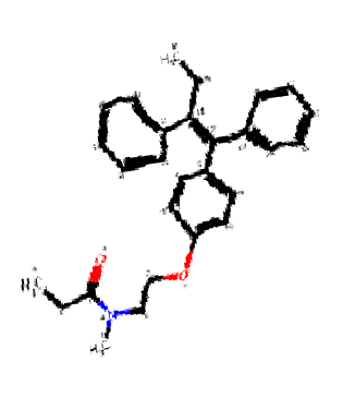 CCC(=O)N(C)CCOc1ccc(C(=C(CC)c2ccccc2)c2ccccc2)cc1